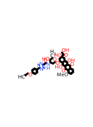 C#CCOc1ccc(-c2nnc(C(=O)NC3CC(OC4CC(O)(C(=O)CO)Cc5c(O)c6c(c(O)c54)C(=O)c4c(OC)cccc4C6=O)OC(C)C3O)nn2)cc1